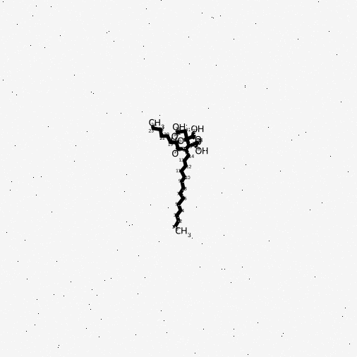 CCCCCCCCCCCCCCCC(C(=O)CCCCCCC)C(C(=O)O)C(O)(CC(=O)O)C(=O)O